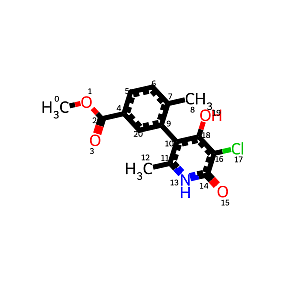 COC(=O)c1ccc(C)c(-c2c(C)[nH]c(=O)c(Cl)c2O)c1